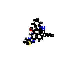 COc1ccc(-c2nc3sc(C)cn3c2/C=C/C(=O)c2c[nH]c3ccccc23)cc1[N+](=O)[O-]